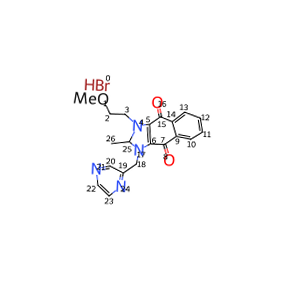 Br.COCCN1C2=C(C(=O)c3ccccc3C2=O)N(Cc2cnccn2)C1C